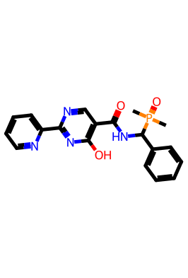 CP(C)(=O)C(NC(=O)c1cnc(-c2ccccn2)nc1O)c1ccccc1